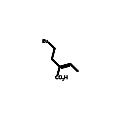 CC=C(CCC(C)CC)C(=O)O